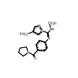 CCOC(=O)N/C(=N/c1ccc(C(=O)N2CCCC2)cc1)n1cc(C(=O)OCC)cn1